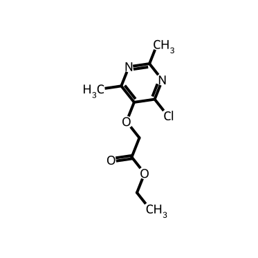 CCOC(=O)COc1c(C)nc(C)nc1Cl